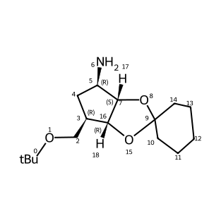 CC(C)(C)OC[C@H]1C[C@@H](N)[C@@H]2OC3(CCCCC3)O[C@H]12